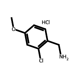 COc1ccc(CN)c(Cl)c1.Cl